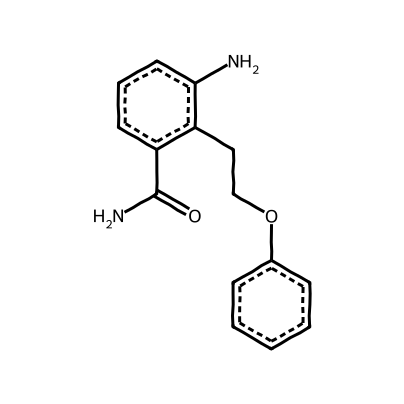 NC(=O)c1cccc(N)c1CCOc1ccccc1